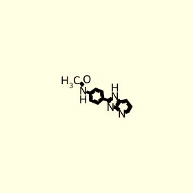 CC(=O)Nc1ccc(-c2nc3ncccc3[nH]2)cc1